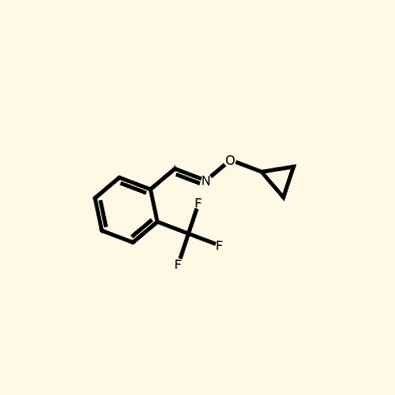 FC(F)(F)c1ccccc1/[C]=N/OC1CC1